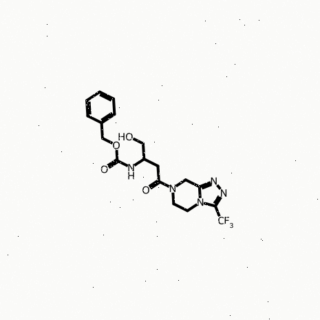 O=C(NC(CO)CC(=O)N1CCn2c(nnc2C(F)(F)F)C1)OCc1ccccc1